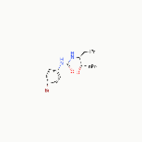 CC[CH]C(=O)[C@H](CC(C)C)NC(=O)Nc1ccc(Br)cc1